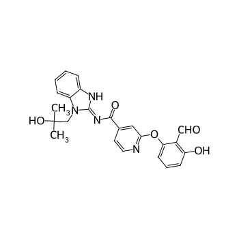 CC(C)(O)Cn1/c(=N/C(=O)c2ccnc(Oc3cccc(O)c3C=O)c2)[nH]c2ccccc21